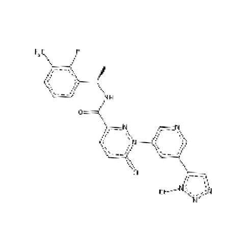 CCn1nncc1-c1cncc(-n2nc(C(=O)N[C@H](C)c3cccc(C(F)(F)F)c3F)ccc2=O)c1